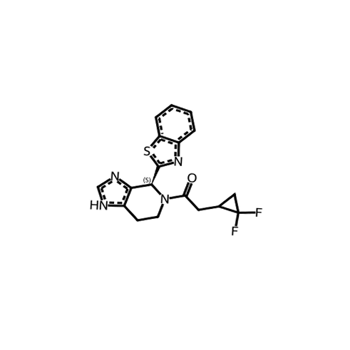 O=C(CC1CC1(F)F)N1CCc2[nH]cnc2[C@H]1c1nc2ccccc2s1